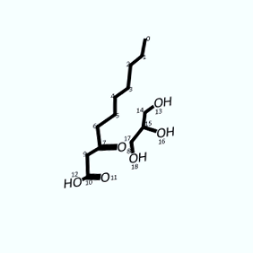 CCCCCCCC(=O)CC(=O)O.OCC(O)CO